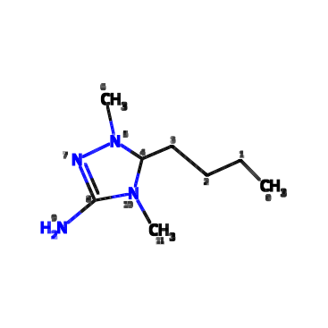 CCCCC1N(C)N=C(N)N1C